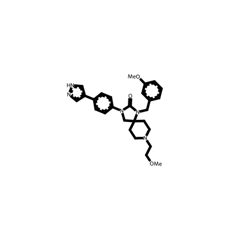 COCCN1CCC2(CC1)CN(c1ccc(-c3cn[nH]c3)cc1)C(=O)N2Cc1cccc(OC)c1